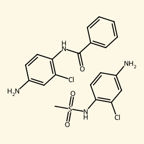 CS(=O)(=O)Nc1ccc(N)cc1Cl.Nc1ccc(NC(=O)c2ccccc2)c(Cl)c1